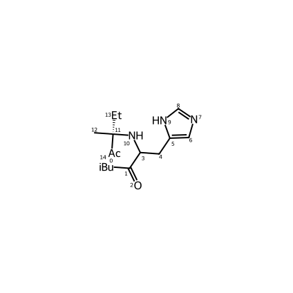 CCC(C)C(=O)C(Cc1cnc[nH]1)N[C@@](C)(CC)C(C)=O